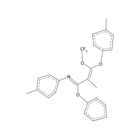 CC(C(=Nc1ccc(C)cc1)Oc1ccccc1)=C(Oc1ccc(C)cc1)OC(F)(F)F